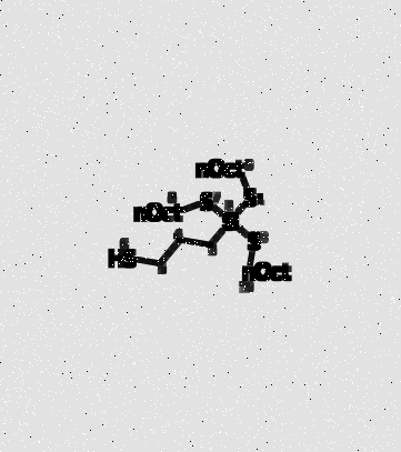 CCCCCCCCS[Si](CCCS)(SCCCCCCCC)SCCCCCCCC